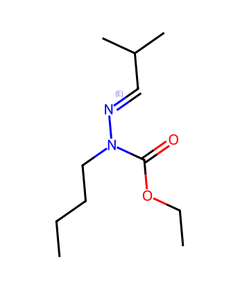 CCCCN(/N=C/C(C)C)C(=O)OCC